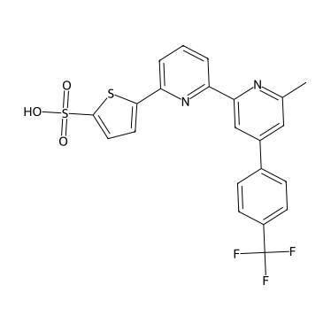 Cc1cc(-c2ccc(C(F)(F)F)cc2)cc(-c2cccc(-c3ccc(S(=O)(=O)O)s3)n2)n1